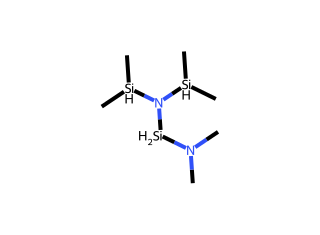 CN(C)[SiH2]N([SiH](C)C)[SiH](C)C